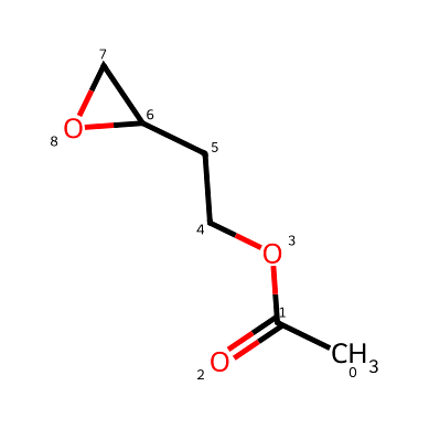 CC(=O)OCCC1CO1